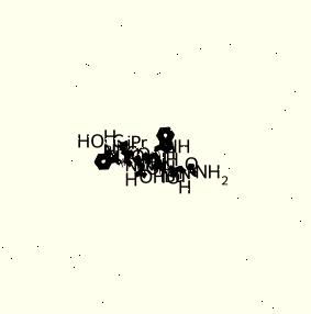 CCC(C)[C@@H](NC(=O)CNC(=O)CN)C(=O)N[C@H](Cc1c[nH]c2ccccc12)C(=O)N[C@@H](C(=O)N[C@H](Cc1c[nH]c2ccccc12)C(=O)N[C@@H](C(=O)O)C(C)C)C(C)O